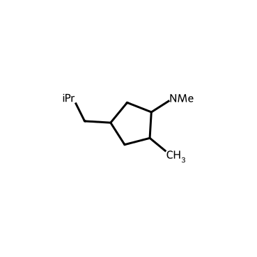 CNC1CC(CC(C)C)CC1C